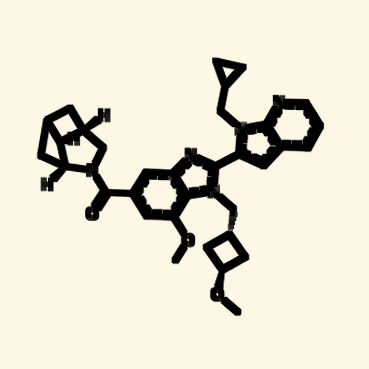 COc1cc(C(=O)N2C[C@H]3CC4C[C@@H]2[C@H]43)cc2nc(-c3cc4cccnc4n3CC3CC3)n(C[C@H]3C[C@H](OC)C3)c12